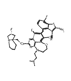 CN(C)CCN1CCOc2c(Cl)c(-c3ccc(F)c4sc(N)c(C#N)c34)c(F)c3nc(OC[C@@]45CCCN4C[C@H](F)C5)nc1c23